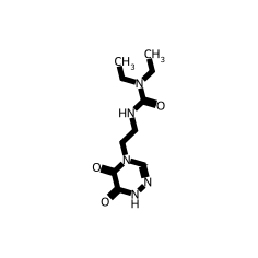 CCN(CC)C(=O)NCCn1[c]n[nH]c(=O)c1=O